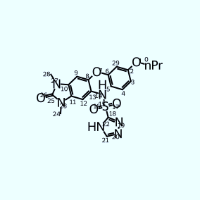 CCCOc1cccc(Oc2cc3c(cc2NS(=O)(=O)c2nnc[nH]2)n(C)c(=O)n3C)c1